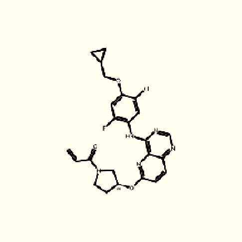 C=CC(=O)N1CC[C@H](Oc2ccc3ncnc(Nc4cc(Cl)c(OCC5CC5)cc4F)c3n2)C1